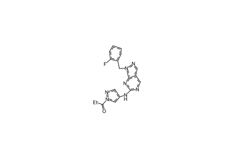 CCC(=O)n1cc(Nc2ncc3cnn(Cc4ccccc4F)c3n2)cn1